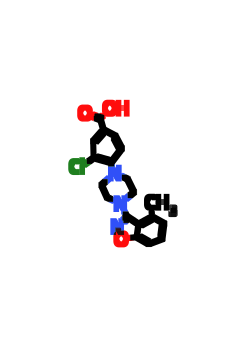 Cc1cccc2onc(N3CCN(c4ccc(C(=O)O)cc4Cl)CC3)c12